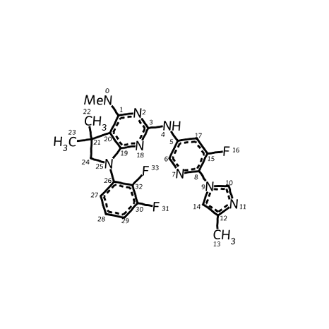 CNc1nc(Nc2cnc(-n3cnc(C)c3)c(F)c2)nc2c1C(C)(C)CN2c1cccc(F)c1F